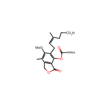 CCCCCCC(=O)Oc1c(CC=C(C)CCC(=O)O)c(OC)c(C)c2c1C(=O)OC2